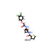 COC1CCSC1C(=O)NC12CC(C1)C(NC(=O)COc1ccc(Cl)c(F)c1)C2